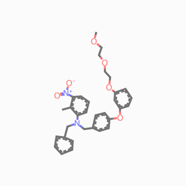 COCCOCCOc1cccc(Oc2ccc(CN(Cc3ccccc3)c3cccc([N+](=O)[O-])c3C)cc2)c1